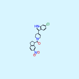 O=C(C1CCc2ccc([N+](=O)[O-])cc21)N1CC=C(c2c[nH]c3cc(Cl)ccc23)CC1